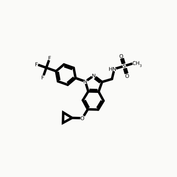 CS(=O)(=O)NCc1nn(-c2ccc(C(F)(F)F)cc2)c2cc(OC3CC3)ccc12